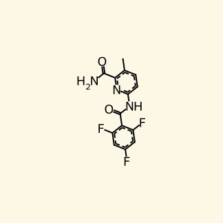 Cc1ccc(NC(=O)c2c(F)cc(F)cc2F)nc1C(N)=O